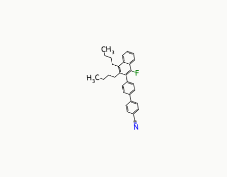 CCCCc1c(-c2ccc(-c3ccc(C#N)cc3)cc2)c(F)c2ccccc2c1CCCC